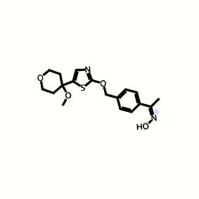 COC1(c2cnc(OCc3ccc(/C(C)=N\O)cc3)s2)CCOCC1